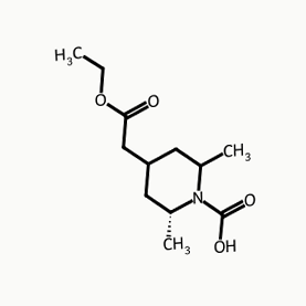 CCOC(=O)CC1CC(C)N(C(=O)O)[C@H](C)C1